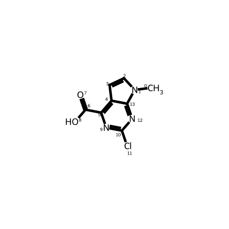 Cn1ccc2c(C(=O)O)nc(Cl)nc21